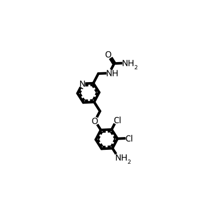 NC(=O)NCc1cc(COc2ccc(N)c(Cl)c2Cl)ccn1